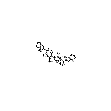 CC(C)(C)[C@H](NC(=O)c1cc2ccccc2[nH]1)C(=O)N1C[C@@H]2C[C@H]1CN2C(=O)c1cc2ncccc2[nH]1